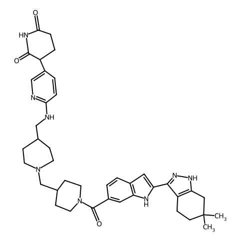 CC1(C)CCc2c(-c3cc4ccc(C(=O)N5CCC(CN6CCC(CNc7ccc(C8CCC(=O)NC8=O)cn7)CC6)CC5)cc4[nH]3)n[nH]c2C1